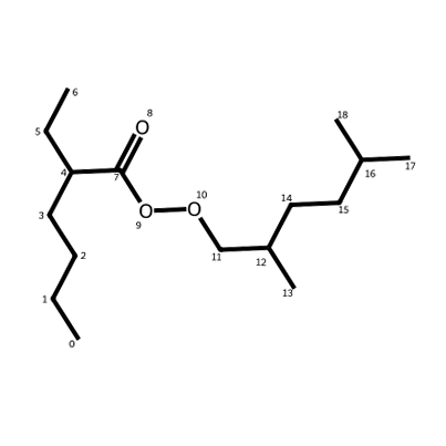 CCCCC(CC)C(=O)OOCC(C)CCC(C)C